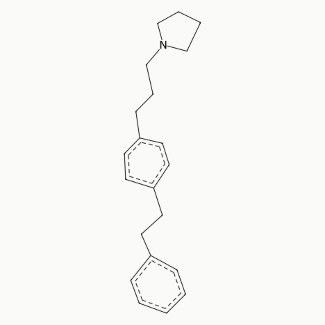 c1ccc(CCc2ccc(CCCN3CCCC3)cc2)cc1